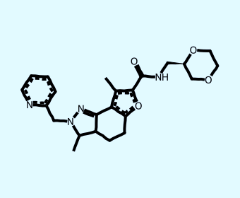 Cc1c(C(=O)NC[C@@H]2COCCO2)oc2c1C1=NN(Cc3ccccn3)C(C)C1CC2